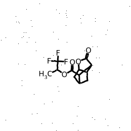 CC(OC(=O)C1C2CC3OC(=O)C1C3C2)C(F)(F)F